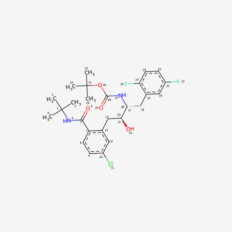 CC(C)(C)NC(=O)c1ccc(Cl)cc1C[C@H](O)[C@@H](Cc1cc(F)ccc1F)NC(=O)OC(C)(C)C